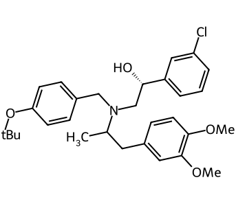 COc1ccc(CC(C)N(Cc2ccc(OC(C)(C)C)cc2)C[C@H](O)c2cccc(Cl)c2)cc1OC